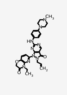 C=CCn1c(=O)c2cnc(Nc3ccc(N4CCN(C)CC4)cc3)nc2n1-c1ccc2c(n1)N(CC)C(=O)CO2